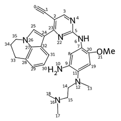 C#Cc1cnc(Nc2cc(N)c(N(C)CCN(C)C)cc2OC)nc1-c1cn2c3c(cccc13)CCC2